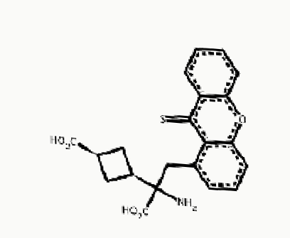 NC(Cc1cccc2oc3ccccc3c(=S)c12)(C(=O)O)[C@H]1C[C@@H](C(=O)O)C1